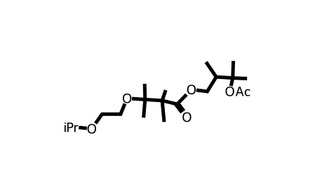 CC(=O)OC(C)(C)C(C)COC(=O)C(C)(C)C(C)(C)OCCOC(C)C